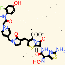 Nc1nc(/C(=N/O)C(=O)N[C@@H]2C(=O)N3C(C(=O)[O-])=C(/C=C4\CCN(Cc5cc[n+](CC(=O)Nc6ccc(O)cc6F)cc5)C4=O)CS[C@H]23)cs1